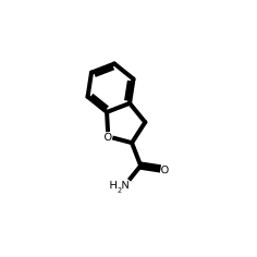 NC(=O)C1Cc2ccccc2O1